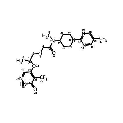 C[C@@H](COCC(=O)N(C)C1CCN(c2ncc(C(F)(F)F)cn2)CC1)Oc1cn[nH]c(=O)c1C(F)(F)F